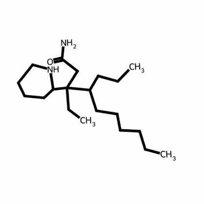 CCCCCCC(CCC)C(CC)(CC(N)=O)C1CCCCN1